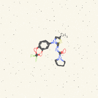 Cc1cn(-c2ccc3c(c2)OC(F)(F)O3)c(=NC(=O)N2CCCC2)s1